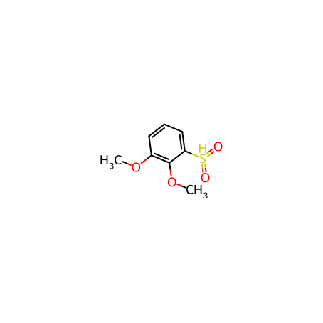 COc1cccc([SH](=O)=O)c1OC